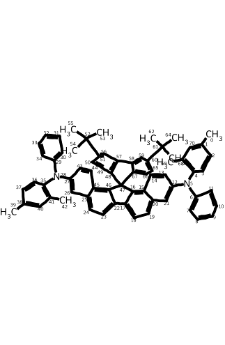 Cc1ccc(N(c2ccccc2)c2ccc3c4c(ccc3c2)-c2ccc3cc(N(c5ccccc5)c5ccc(C)cc5C)ccc3c2C42c3ccc(C(C)(C)C)cc3-c3cc(C(C)(C)C)ccc32)c(C)c1